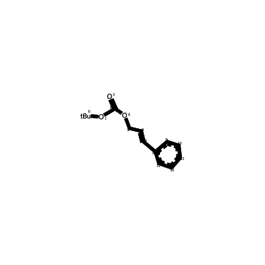 CC(C)(C)OC(=O)OCC=Cc1ccccc1